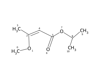 CO/C(C)=C\C(=O)OC(C)C